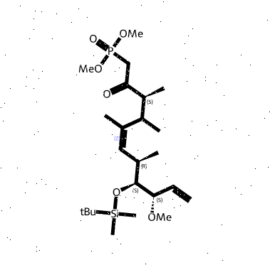 C=C[C@H](OC)[C@@H](O[Si](C)(C)C(C)(C)C)[C@H](C)/C=C(/C)C(C)[C@H](C)C(=O)CP(=O)(OC)OC